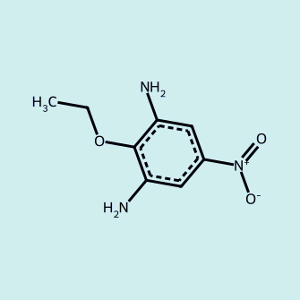 CCOc1c(N)cc([N+](=O)[O-])cc1N